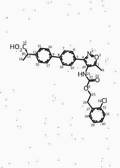 Cc1onc(-c2ccc(-c3ccc([C@@H](C)C(=O)O)cc3)cc2)c1NC(=O)OCCc1ccccc1Cl